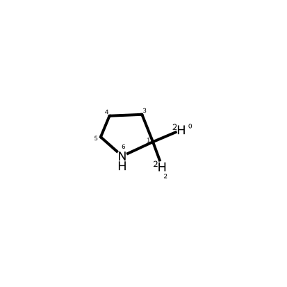 [2H]C1([2H])CCCN1